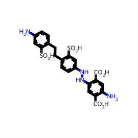 Nc1ccc(CCc2ccc(NNc3cc(C(=O)O)c(N)cc3C(=O)O)cc2S(=O)(=O)O)c(S(=O)(=O)O)c1